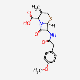 C=C1CS[C@H]2C(NC(=O)Cc3ccc(OC)cc3)C(=O)N2C1C(=O)O